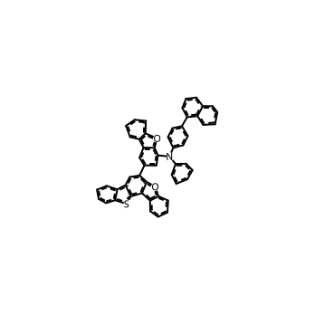 c1ccc(N(c2ccc(-c3cccc4ccccc34)cc2)c2cc(-c3cc4c5ccccc5sc4c4c3oc3ccccc34)cc3c2oc2ccccc23)cc1